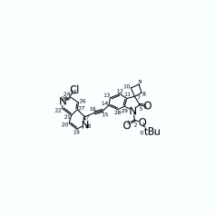 CC(C)(C)OC(=O)N1C(=O)C2(CCC2)c2ccc(C#Cc3nccc4cnc(Cl)cc34)cc21